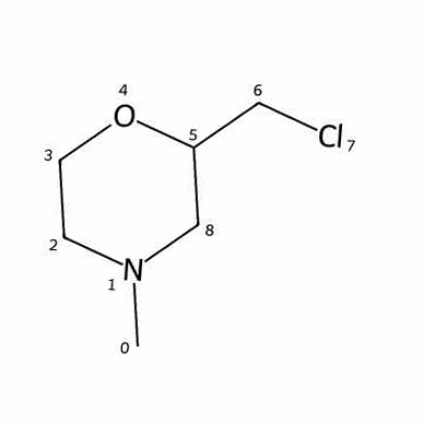 CN1CCOC(CCl)C1